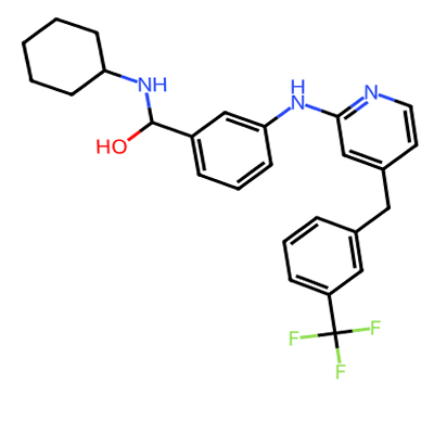 OC(NC1CCCCC1)c1cccc(Nc2cc(Cc3cccc(C(F)(F)F)c3)ccn2)c1